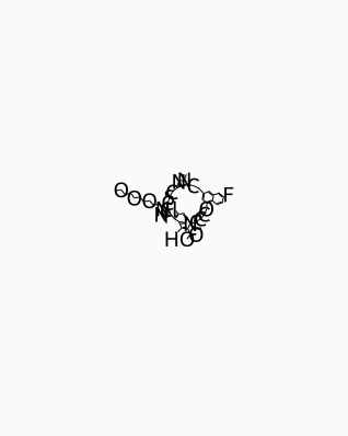 COCCOCCOCCn1nc(C)c2c1CSCc1cc(n(C)n1)CCc1cc(c3ccc(F)cc3c1)OCCCn1c(C(=O)O)c(C)c3c-2c(Cl)ccc31